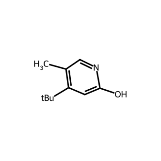 Cc1cnc(O)cc1C(C)(C)C